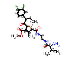 CCC(C(=O)c1sc(C(=O)NCCNC(=O)[C@@H](N)C(C)C)c(C)c1C(=O)OC)c1ccc(F)c(F)c1